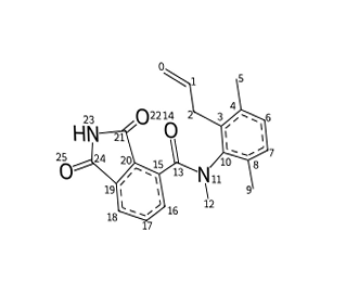 C=CCc1c(C)ccc(C)c1N(C)C(=O)c1cccc2c1C(=O)NC2=O